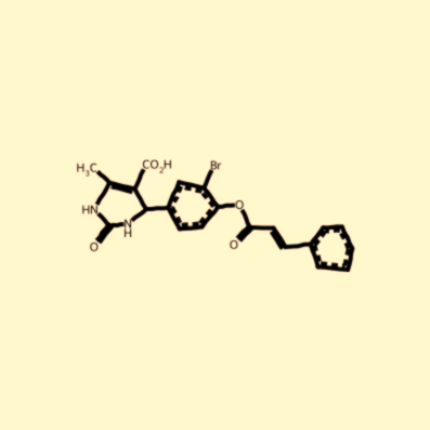 CC1=C(C(=O)O)C(c2ccc(OC(=O)/C=C/c3ccccc3)c(Br)c2)NC(=O)N1